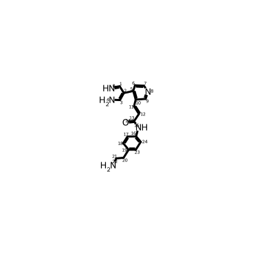 N=C/C(=C\N)c1ccncc1/C=C/C(=O)Nc1ccc(CCN)cc1